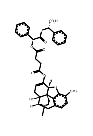 COc1ccc2c3c1O[C@H]1C(OC(=O)CCC(=O)O[C@H](C(=O)O[C@H](C(=O)O)c4ccccc4)c4ccccc4)=CC[C@@]4(O)[C@@H](C2)N(C)CC[C@]314